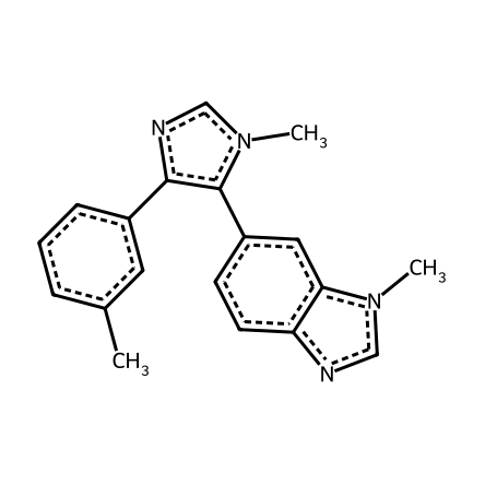 Cc1cccc(-c2ncn(C)c2-c2ccc3ncn(C)c3c2)c1